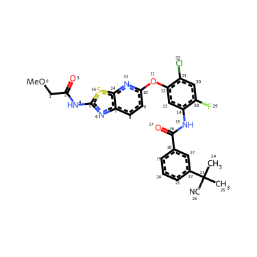 COCC(=O)Nc1nc2ccc(Oc3cc(NC(=O)c4cccc(C(C)(C)C#N)c4)c(F)cc3Cl)nc2s1